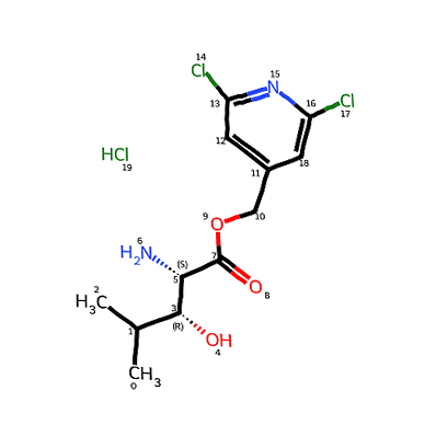 CC(C)[C@@H](O)[C@H](N)C(=O)OCc1cc(Cl)nc(Cl)c1.Cl